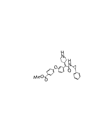 COC(=O)c1ccc(Oc2cccc(C(C(=O)NC3CC3c3ccccc3)=C3CCNCC3)c2)cc1